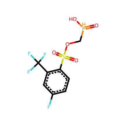 O=[PH](O)COS(=O)(=O)c1ccc(F)cc1C(F)(F)F